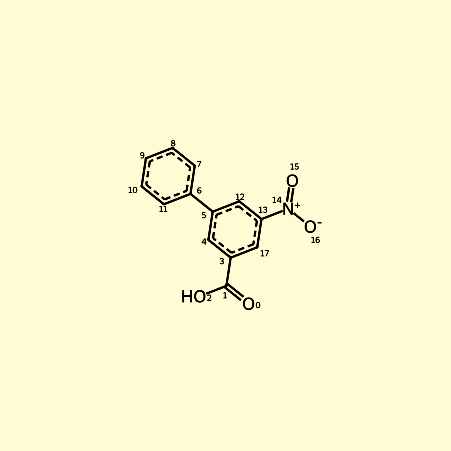 O=C(O)c1cc(-c2ccccc2)cc([N+](=O)[O-])c1